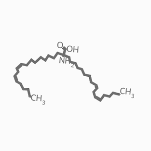 CCCCC/C=C\C/C=C\CCCCCCCCC(N)(CCCCCCCC/C=C\C/C=C\CCCCC)C(=O)O